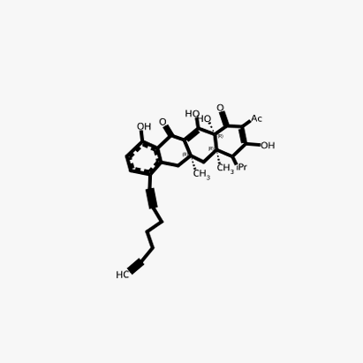 C#CCCCC#Cc1ccc(O)c2c1C[C@]1(C)C[C@]3(C)C(C(C)C)C(O)=C(C(C)=O)C(=O)[C@]3(O)C(O)=C1C2=O